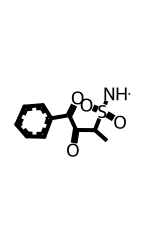 CC(C(=O)C(=O)c1ccccc1)S([NH])(=O)=O